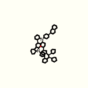 c1ccc(-c2c(-c3ccccc3)c3cc(-c4ccc(N(c5ccc(-c6ccc7ccccc7c6)cc5)c5ccccc5-c5ccc6c(c5)c5ccccc5n6-c5ccccc5)cc4)ccc3c3ccccc23)cc1